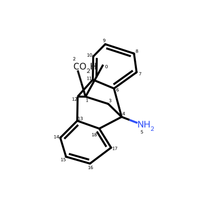 CC1(C(=O)O)CC2(N)c3ccccc3C1c1ccccc12